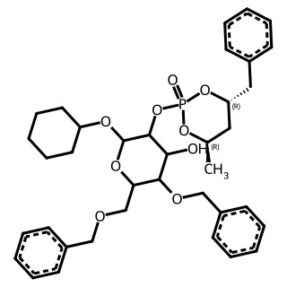 C[C@@H]1C[C@@H](Cc2ccccc2)OP(=O)(OC2C(OC3CCCCC3)OC(COCc3ccccc3)C(OCc3ccccc3)C2O)O1